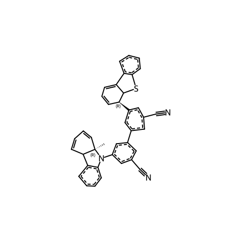 C[C@@]12C=CC=CC1c1ccccc1N2c1cc(C#N)cc(-c2cc(C#N)cc([C@H]3C=CC=C4c5ccccc5SC43)c2)c1